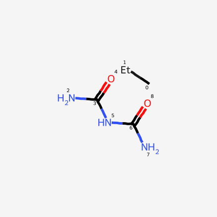 CCC.NC(=O)NC(N)=O